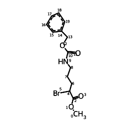 COC(=O)C(Br)CCCNC(=O)OCc1ccccc1